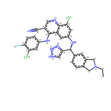 CCN1Cc2ccc([C@H](Nc3cc(Cl)c4ncc(C#N)c(Nc5ccc(F)c(Cl)c5)c4c3)c3c[nH]nn3)cc2C1